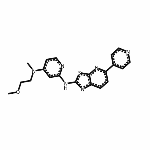 COCCN(C)c1ccnc(Nc2nc3ccc(-c4ccncc4)nc3s2)c1